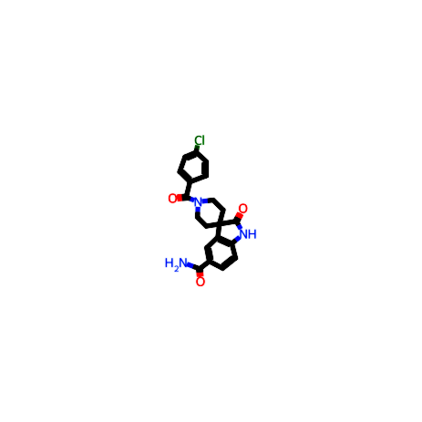 NC(=O)c1ccc2c(c1)C1(CCN(C(=O)c3ccc(Cl)cc3)CC1)C(=O)N2